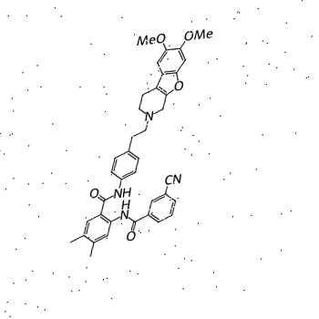 COc1cc2oc3c(c2cc1OC)CCN(CCc1ccc(NC(=O)c2cc(C)c(C)cc2NC(=O)c2cccc(C#N)c2)cc1)C3